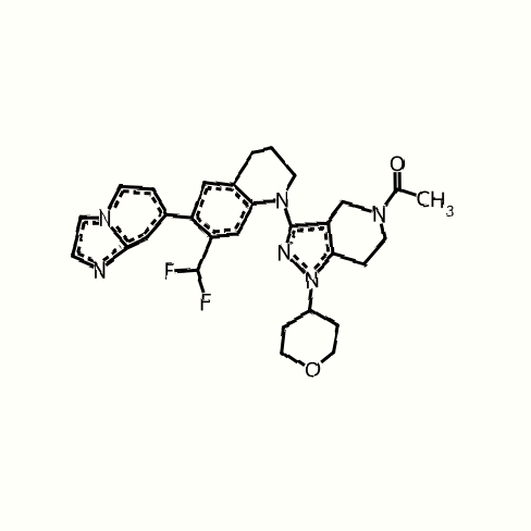 CC(=O)N1CCc2c(c(N3CCCc4cc(-c5ccn6ccnc6c5)c(C(F)F)cc43)nn2C2CCOCC2)C1